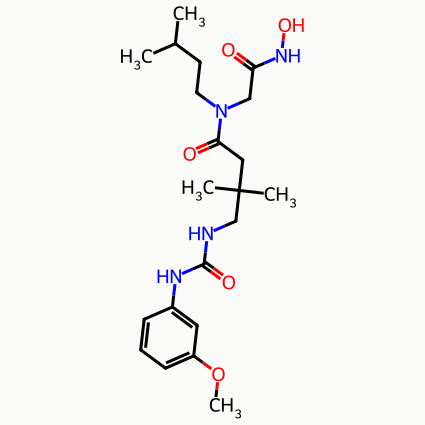 COc1cccc(NC(=O)NCC(C)(C)CC(=O)N(CCC(C)C)CC(=O)NO)c1